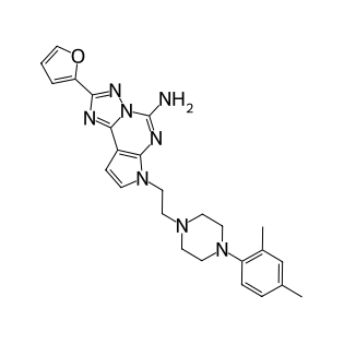 Cc1ccc(N2CCN(CCn3ccc4c3nc(N)n3nc(-c5ccco5)nc43)CC2)c(C)c1